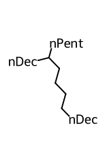 [CH2]CCCCC(CCCCCCCCCC)CCCCCCCCCCCCCC